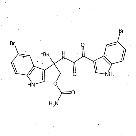 CC(C)(C)C(COC(N)=O)(NC(=O)C(=O)c1c[nH]c2ccc(Br)cc12)c1c[nH]c2ccc(Br)cc12